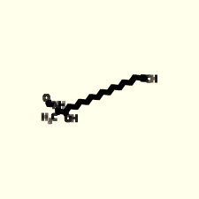 C#CCCCCCCCCCCCCCC(O)C(C)NC=O